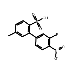 Cc1ccc(S(=O)(=O)O)c(-c2ccc([N+](=O)[O-])c(F)c2)c1